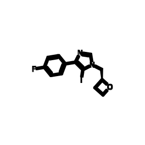 Fc1ccc(-c2ncn(C[C@@H]3CCO3)c2I)cc1